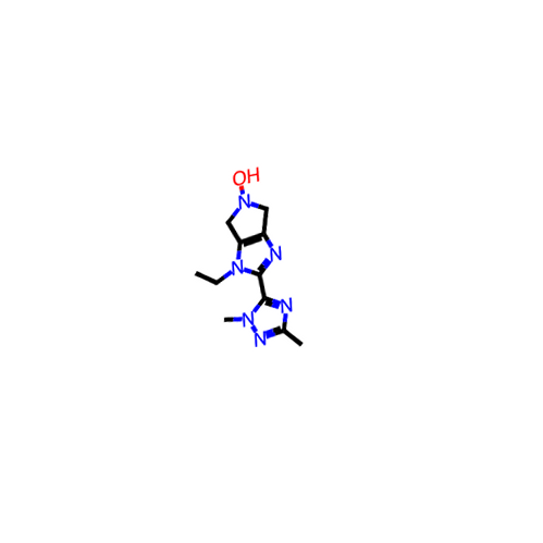 CCn1c(-c2nc(C)nn2C)nc2c1CN(O)C2